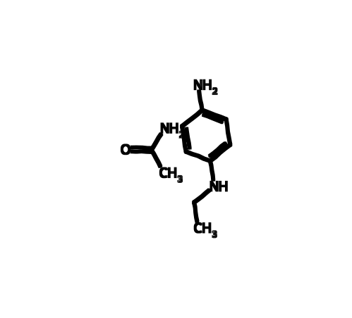 CC(N)=O.CCNc1ccc(N)cc1